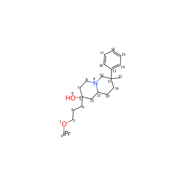 CC(C)OCCCC1(O)CCN2CC(C)(c3ccccc3)CCC2C1